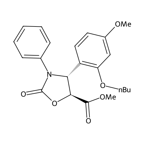 CCCCOc1cc(OC)ccc1[C@@H]1[C@@H](C(=O)OC)OC(=O)N1c1ccccc1